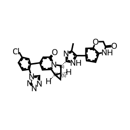 Cc1nc([C@@H]2[C@H]3C[C@H]3c3cc(-c4cc(Cl)ccc4-n4cnnn4)cc(=O)n32)[nH]c1-c1ccc2c(c1)OCC(=O)N2